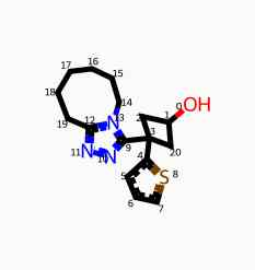 OC1CC(c2cccs2)(c2nnc3n2CCCCCC3)C1